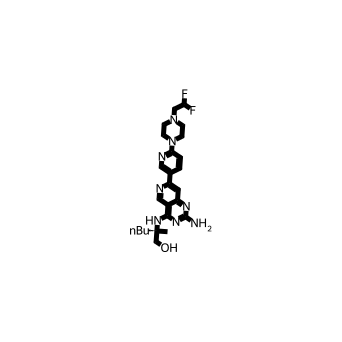 CCCC[C@](C)(CO)Nc1nc(N)nc2cc(-c3ccc(N4CCN(CC(F)F)CC4)nc3)ncc12